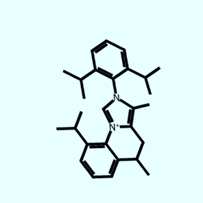 Cc1c2[n+](cn1-c1c(C(C)C)cccc1C(C)C)-c1c(C(C)C)cccc1C(C)C2